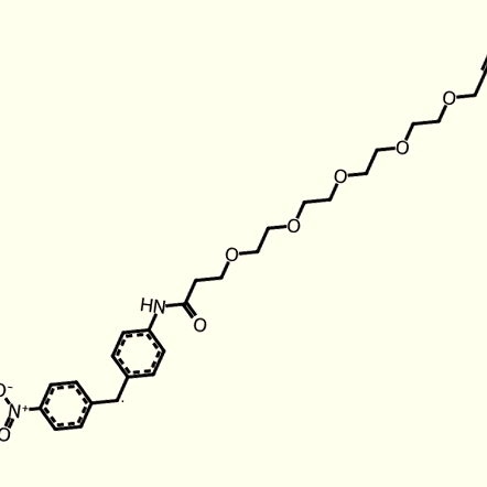 C#CCOCCOCCOCCOCCOCCC(=O)Nc1ccc([CH]c2ccc([N+](=O)[O-])cc2)cc1